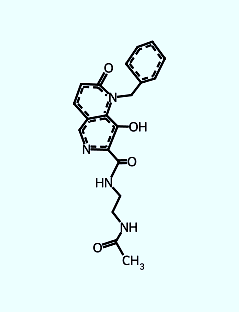 CC(=O)NCCNC(=O)c1ncc2ccc(=O)n(Cc3ccccc3)c2c1O